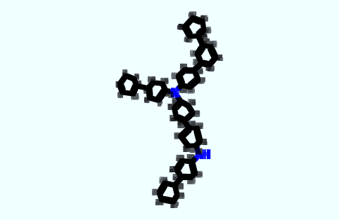 C1=CCCC(C2=CC=C(N(C3=CC=C(C4=CCC(Nc5ccc(C6C=CC=CC6)cc5)C=C4)CC3)c3ccc(-c4cccc(-c5ccccc5)c4)cc3)CC2)=C1